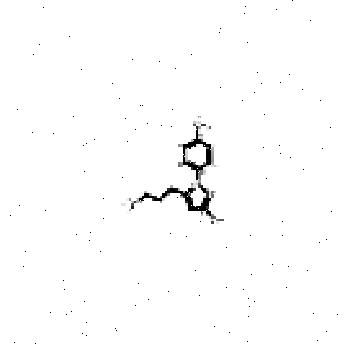 CCCCc1cc(O)nn1-c1ccc(C)cc1